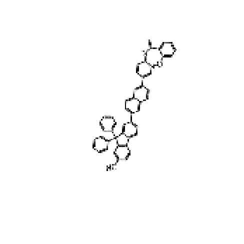 C=C1N=C2C=CC(c3ccc4cc(-c5ccc6c(c5)C(c5ccccc5)(c5ccccc5)c5cc(C#N)ccc5-6)ccc4c3)=CN2Oc2ccccc21